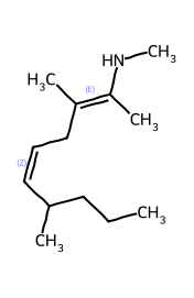 CCCC(C)/C=C\C/C(C)=C(\C)NC